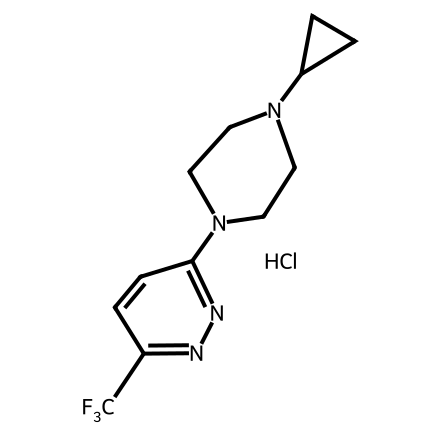 Cl.FC(F)(F)c1ccc(N2CCN(C3CC3)CC2)nn1